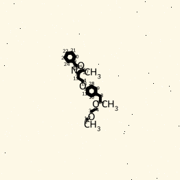 CCOCCO[C@@H](C)Cc1ccc(OCCc2nc(-c3ccccc3)oc2C)cc1